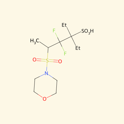 CCC(CC)(C(F)(F)C(C)S(=O)(=O)N1CCOCC1)S(=O)(=O)O